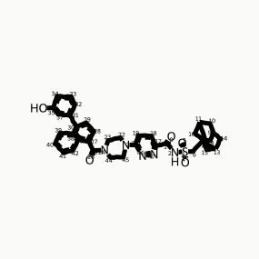 O=C(NS(=O)(=O)CC12CC3CC(CC(C3)C1)C2)c1ccc(N2CCN(C(=O)c3ccc(-c4cccc(O)c4)c4ccccc34)CC2)nn1